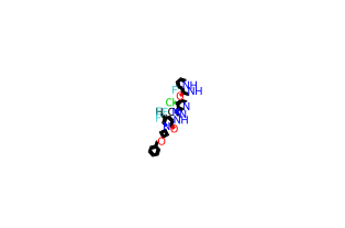 Cn1c(Nc2cc(C(F)(F)F)cn([C@H]3C[C@H](OCc4ccccc4)C3)c2=O)nc2ncc(O/C(C=N)=C3/NC=CC=C3F)c(Cl)c21